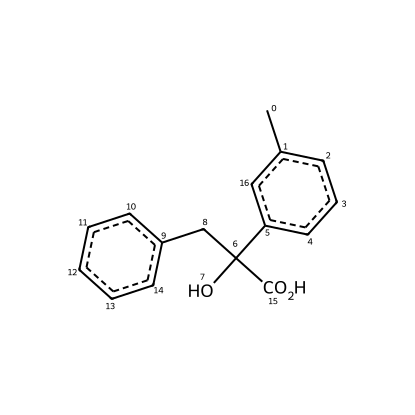 Cc1cccc(C(O)(Cc2ccccc2)C(=O)O)c1